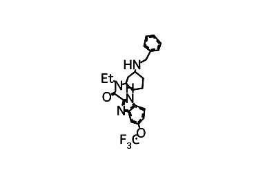 CCN(C(=O)c1nc2cc(OC(F)(F)F)ccc2[nH]1)C1CCCC(NCc2ccccc2)C1